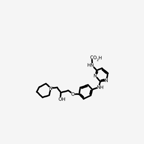 O=C(O)Nc1ccnc(Nc2ccc(OCC(O)CN3CCCCC3)cc2)n1